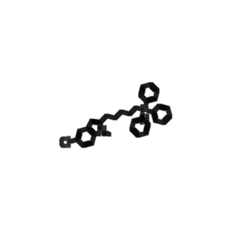 Cn1c(CCCCC[PH](c2ccccc2)(c2ccccc2)c2ccccc2)cc2cc(Cl)ccc21